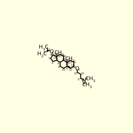 C=C(C)O[C@H]1CCC2C3CCC4=C[C@@H](OCCCN(C)C)CC[C@]4(C)C3CC[C@@]21C